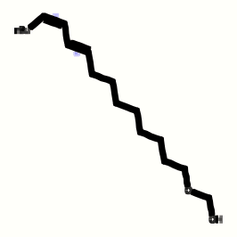 CCCC/C=C\C=C\CCCCCCCCOCO